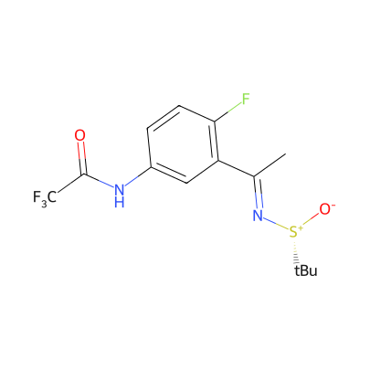 C/C(=N\[S@+]([O-])C(C)(C)C)c1cc(NC(=O)C(F)(F)F)ccc1F